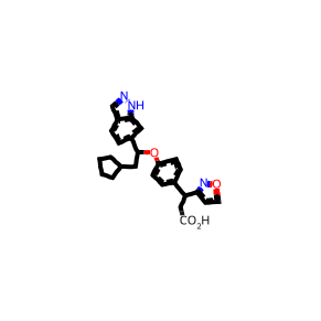 O=C(O)CC(c1ccc(OC(CC2CCCC2)c2ccc3cn[nH]c3c2)cc1)c1ccon1